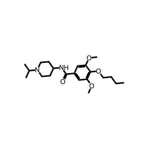 CCCCOc1c(OC)cc(C(=O)NC2CCN(C(C)C)CC2)cc1OC